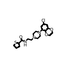 O=C(NCCN1CCN(c2cc(Cl)cc3c2OC=CO3)CC1)c1cccs1